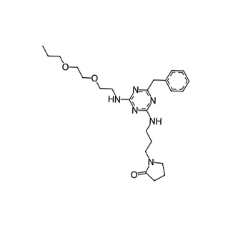 CCCOCCOCCNc1nc(Cc2ccccc2)nc(NCCCN2CCCC2=O)n1